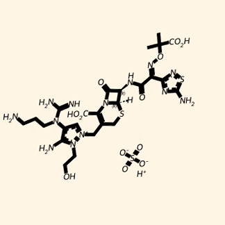 CC(C)(ON=C(C(=O)N[C@@H]1C(=O)N2C(C(=O)O)=C(C[n+]3cc(N(CCCN)C(=N)N)c(N)n3CCO)CS[C@H]12)c1nsc(N)n1)C(=O)O.O=S(=O)([O-])[O-].[H+]